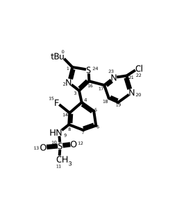 CC(C)(C)c1nc(-c2cccc(NS(C)(=O)=O)c2F)c(-c2ccnc(Cl)n2)s1